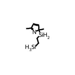 CC1=NC(C)([SiH2]CC[SiH3])C=C1